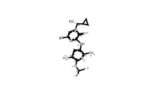 CC[C@H](C1CC1)n1cc(Br)nc(Nc2cc(C)c(OC(F)F)nc2C)c1=O